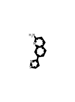 Nc1ccc2ccc(-c3ccsn3)cc2n1